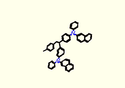 Cc1ccc(CC(c2ccc(N(c3ccccc3)c3ccc4ccccc4c3)cc2)c2ccc(N(c3ccccc3)c3ccc4ccccc4c3)cc2)cc1